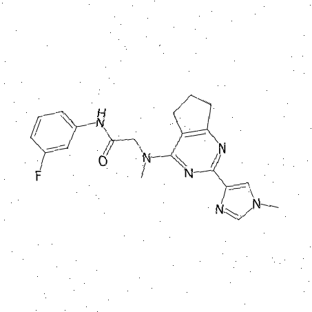 CN(CC(=O)Nc1cccc(F)c1)c1nc(-c2cn(C)cn2)nc2c1CCC2